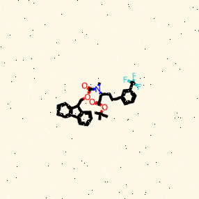 CN(C(=O)OCC1c2ccccc2-c2ccccc21)C(CCc1cccc(C(F)(F)F)c1)C(=O)OC(C)(C)C